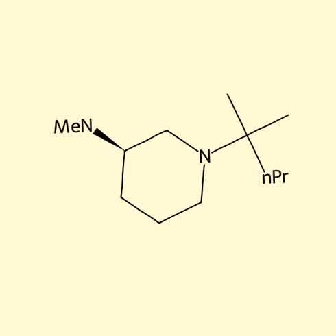 CCCC(C)(C)N1CCC[C@@H](NC)C1